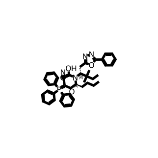 CCCC[C@@H](C(=O)C(C#N)=P(c1ccccc1)(c1ccccc1)c1ccccc1)N(C(=O)O)[C@H](Cc1nnc(-c2ccccc2)o1)C(C)(C)CC